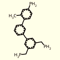 Cc1cc(P)ccc1-c1cccc(-c2cc(CP)cc(CP)c2)c1